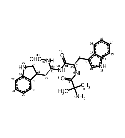 CC(C)(N)C(=O)N[C@H](Cc1c[nH]c2ccccc12)C(=O)N[C@H](CC1CNc2ccccc21)NC=O